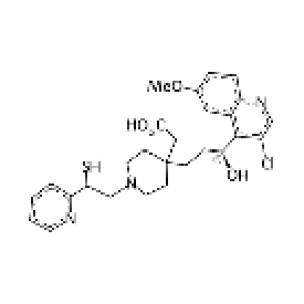 COc1ccc2ncc(Cl)c([C@@H](O)CCC3(CC(=O)O)CCN(CC(S)c4ccccn4)CC3)c2c1